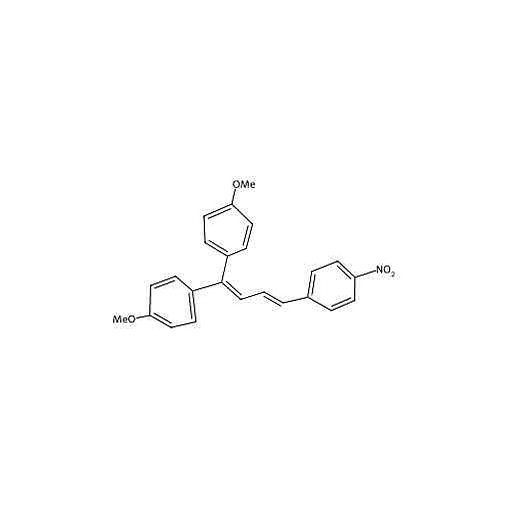 COc1ccc(C(=CC=Cc2ccc([N+](=O)[O-])cc2)c2ccc(OC)cc2)cc1